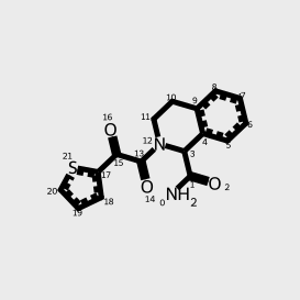 NC(=O)C1c2cc[c]cc2CCN1C(=O)C(=O)c1cccs1